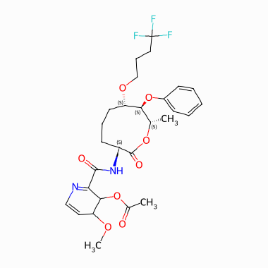 COC1C=CN=C(C(=O)N[C@H]2CCC[C@H](OCCCC(F)(F)F)[C@@H](Oc3ccccc3)[C@H](C)OC2=O)C1OC(C)=O